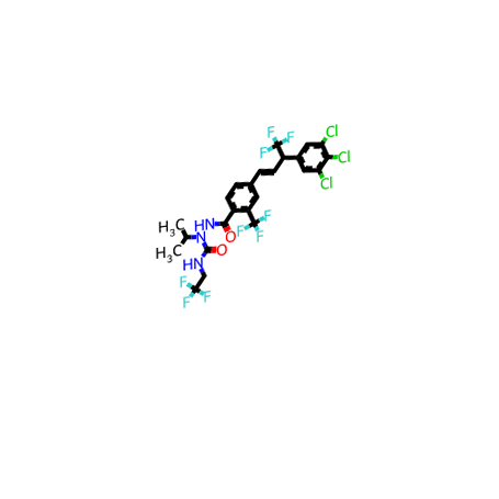 CC(C)N(NC(=O)c1ccc(C=CC(c2cc(Cl)c(Cl)c(Cl)c2)C(F)(F)F)cc1C(F)(F)F)C(=O)NCC(F)(F)F